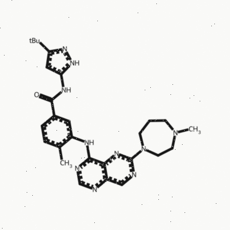 Cc1ccc(C(=O)Nc2cc(C(C)(C)C)n[nH]2)cc1Nc1ncnc2cnc(N3CCCN(C)CC3)nc12